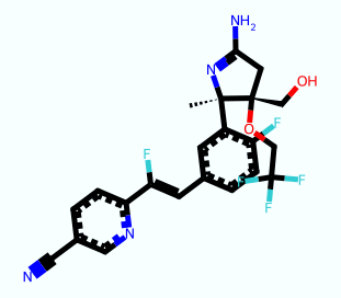 C[C@]1(c2cc(/C=C(\F)c3ccc(C#N)cn3)ccc2F)N=C(N)C[C@]1(CO)OCC(F)(F)F